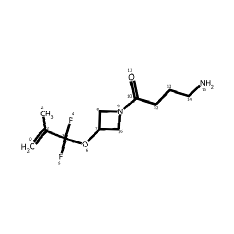 C=C(C)C(F)(F)OC1CN(C(=O)CCCN)C1